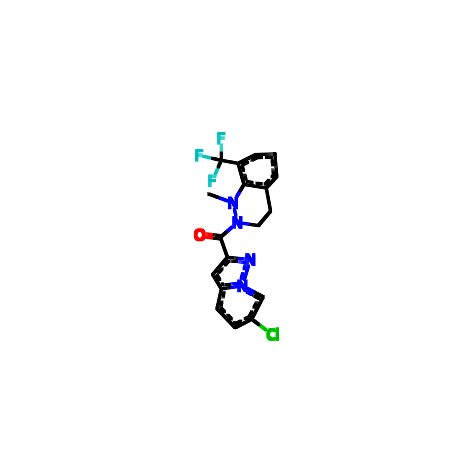 CN1c2c(cccc2C(F)(F)F)CCN1C(=O)c1cc2ccc(Cl)cn2n1